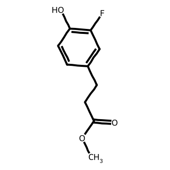 COC(=O)CCc1ccc(O)c(F)c1